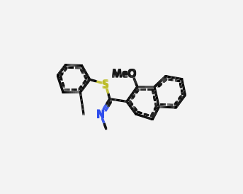 C/N=C(/Sc1ccccc1C)c1ccc2ccccc2c1OC